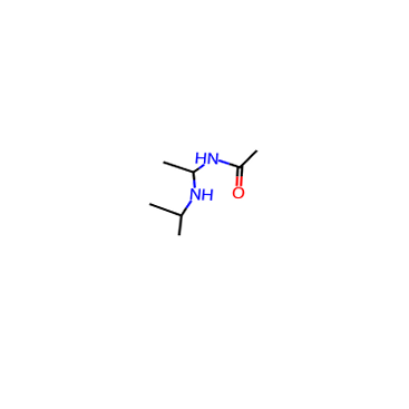 CC(=O)NC(C)NC(C)C